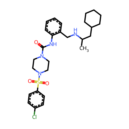 CC(CC1CCCCC1)NCc1ccccc1NC(=O)N1CCN(S(=O)(=O)c2ccc(Cl)cc2)CC1